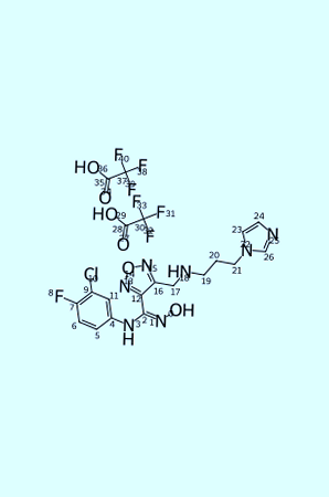 O/N=C(/Nc1ccc(F)c(Cl)c1)c1nonc1CNCCCn1ccnc1.O=C(O)C(F)(F)F.O=C(O)C(F)(F)F